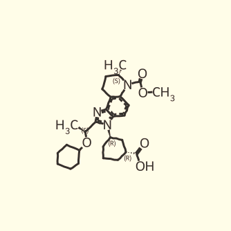 COC(=O)N1c2ccc3c(nc([C@H](C)OC4CCCCC4)n3[C@@H]3CCC[C@@H](C(=O)O)C3)c2CC[C@@H]1C